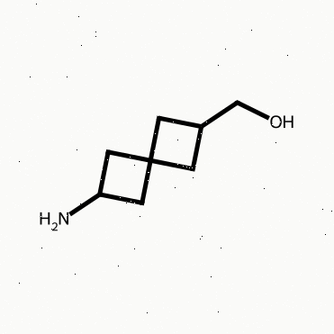 NC1CC2(C1)CC(CO)C2